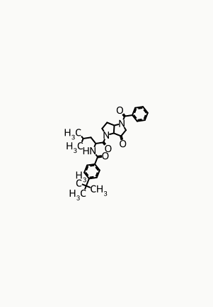 CC(C)CC(NC(=O)c1ccc(C(C)(C)C)cc1)C(=O)N1CCC2C1C(=O)CN2C(=O)c1ccccc1